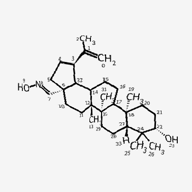 C=C(C)[C@@H]1CC[C@]2(/C=N/O)CC[C@]3(C)C(CCC4[C@@]5(C)CC[C@H](O)C(C)(C)[C@@H]5CC[C@]43C)C12